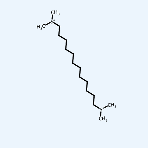 C[S+](C)CCCCCCCCCCCC[S+](C)C